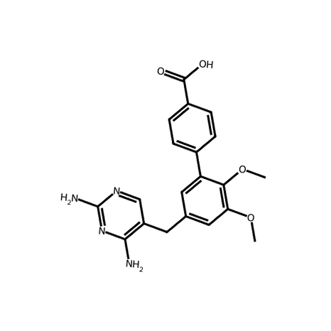 COc1cc(Cc2cnc(N)nc2N)cc(-c2ccc(C(=O)O)cc2)c1OC